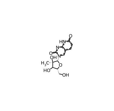 C[C@@]1(O)C(O)[C@@H](CO)O[C@H]1n1cc2ccc(=O)[nH]c2nc1=O